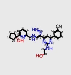 N#Cc1cccc(-c2cc(/C(=C/NCc3cccc(C4(O)CCCC4)n3)N=N)nc(NCCO)n2)c1